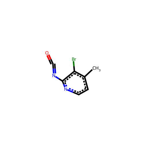 Cc1ccnc(N=C=O)c1Br